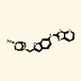 CC(=O)N1CC2CC1CN2Cc1cc2ccc(Oc3nc4cccnc4s3)cc2o1